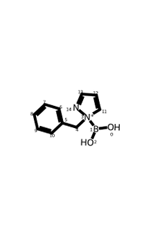 OB(O)[N+]1(Cc2ccccc2)C=CC=N1